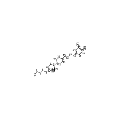 FCCCC[SiH]1CCC(C2CCC(CCCCc3ccc(F)c(F)c3)CC2)CC1